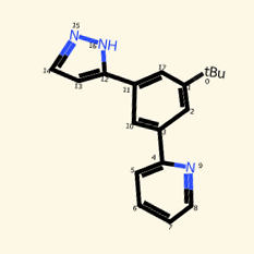 CC(C)(C)c1cc(-c2ccccn2)cc(-c2ccn[nH]2)c1